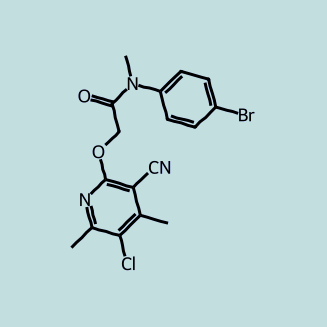 Cc1nc(OCC(=O)N(C)c2ccc(Br)cc2)c(C#N)c(C)c1Cl